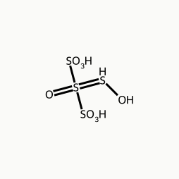 O=S(=O)(O)S(=O)(=[SH]O)S(=O)(=O)O